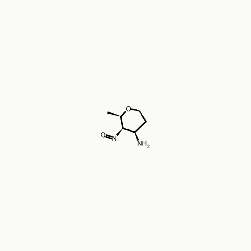 C[C@H]1OCC[C@@H](N)[C@H]1N=O